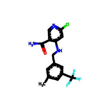 Cc1cc(CNc2cc(Cl)ncc2C(N)=O)cc(C(F)(F)F)c1